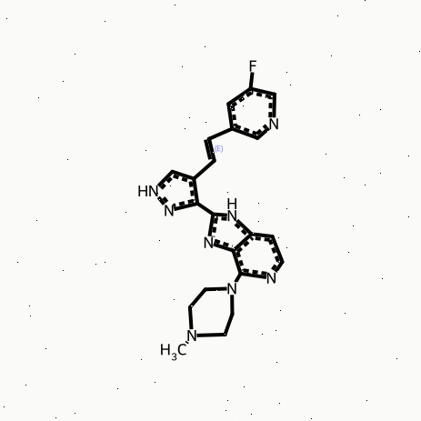 CN1CCN(c2nccc3[nH]c(-c4n[nH]cc4/C=C/c4cncc(F)c4)nc23)CC1